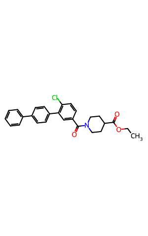 CCOC(=O)C1CCN(C(=O)c2ccc(Cl)c(-c3ccc(-c4ccccc4)cc3)c2)CC1